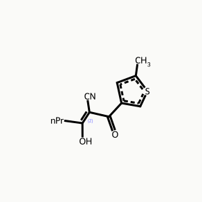 CCC/C(O)=C(\C#N)C(=O)c1csc(C)c1